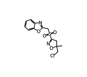 CC1(CCl)CC(S(=O)(=O)Cc2nc3ccccc3o2)=NO1